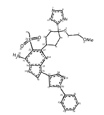 COCCOC1(c2nnc[nH]2)CCC(c2nc3c(-c4cnn(-c5ccccc5)c4)cnn3c(N)c2S(C)(=O)=O)CC1